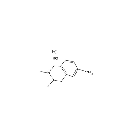 CC1Cc2cc(N)ccc2CN1C.Cl.Cl